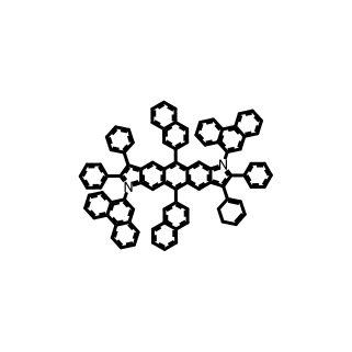 C1=CCCC(c2c(-c3ccccc3)n(-c3cc4ccccc4c4ccccc34)c3cc4c(-c5ccc6ccccc6c5)c5cc6c(-c7ccccc7)c(-c7ccccc7)n(-c7cc8ccccc8c8ccccc78)c6cc5c(-c5ccc6ccccc6c5)c4cc23)=C1